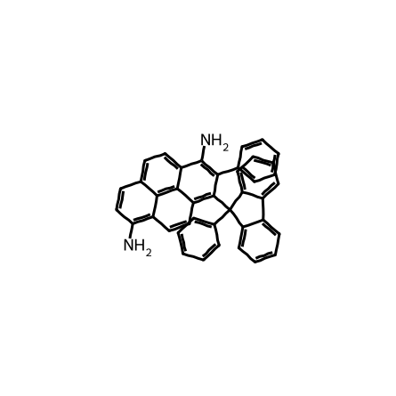 Nc1ccc2ccc3c(N)c(-c4ccccc4)c(C4(c5ccccc5)c5ccccc5-c5ccccc54)c4ccc1c2c34